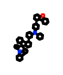 c1ccc(N(c2ccc(-c3cccc4oc5ccccc5c34)cc2)c2cccc(-c3cccc4c3-c3ccccc3C43c4ccccc4-n4c5ccccc5c5cccc3c54)c2)cc1